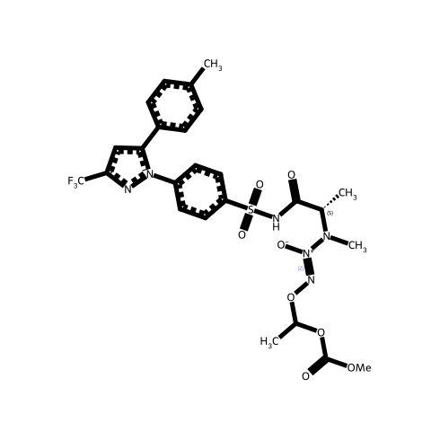 COC(=O)OC(C)O/N=[N+](\[O-])N(C)[C@@H](C)C(=O)NS(=O)(=O)c1ccc(-n2nc(C(F)(F)F)cc2-c2ccc(C)cc2)cc1